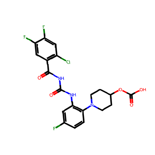 O=C(NC(=O)c1cc(F)c(F)cc1Cl)Nc1cc(F)ccc1N1CCC(OC(=O)O)CC1